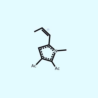 C/C=C\c1cc(C(C)=O)c(C(C)=O)n1C